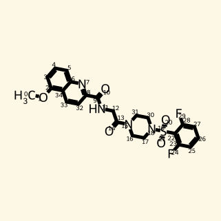 COc1cccc2nc(C(=O)NCC(=O)N3CCN(S(=O)(=O)c4c(F)cccc4F)CC3)ccc12